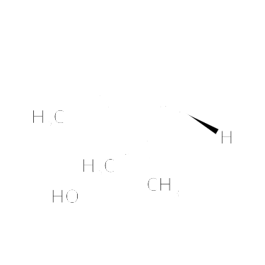 CC1(C)[C@@H]2CC[C@]1(C)C(O)C2